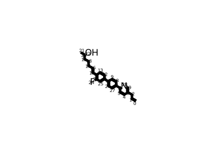 C=CCc1ccc(-c2ccc(-c3ccc(C=CCCCC(C)O)c(F)c3)cc2)nc1